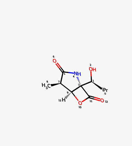 CC(C)[C@H](O)[C@]12NC(=O)[C@H](C)[C@@H]1OC2=O